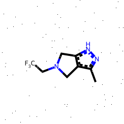 Cc1n[nH]c2c1CN(CC(F)(F)F)C2